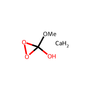 COC1(O)OO1.[CaH2]